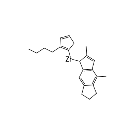 CCCCC1=[C]([Zr][CH]2C(C)=Cc3c2cc2c(c3C)CCC2)CC=C1